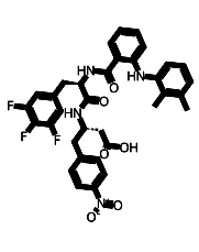 Cc1cccc(Nc2ccccc2C(=O)N[C@H](Cc2cc(F)c(F)c(F)c2)C(=O)N[C@H](CC(=O)O)Cc2ccc([N+](=O)[O-])cc2)c1C